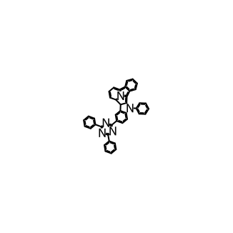 C1=CC2C3C(=c4c5ccccc5c(n42)=C1)N(c1ccccc1)c1ccc(-c2nc(-c4ccccc4)nc(-c4ccccc4)n2)cc13